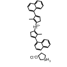 C1CC[SiH2]C1.CC1=[C]([Hf+2][C]2=C(C)C(c3cccc4ccccc34)=CC2)CC=C1c1cccc2ccccc12.[Cl-].[Cl-]